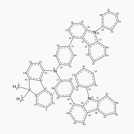 CC1(C)c2ccccc2-c2c(N(c3ccc(-c4cccc5c4c4ccccc4n5-c4ccccc4)cc3)c3ccc(-c4cccc5c6ccccc6n(-c6ccccc6)c45)cc3)cccc21